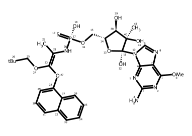 COc1nc(N)nc2c1ncn2[C@@]1(O)O[C@H](CO[P@](O)(=S)NC(C)=C(OCC(C)(C)C)Oc2cccc3ccccc23)[C@@H](O)[C@@]1(C)O